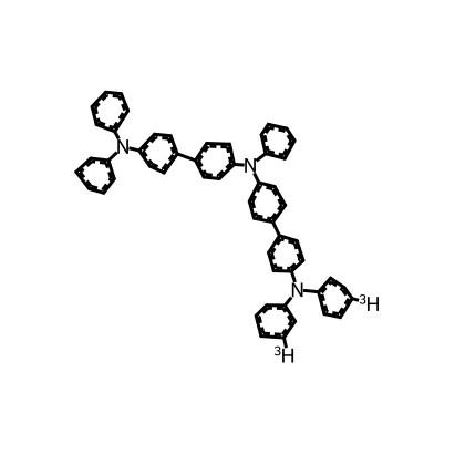 [3H]c1ccc(N(c2ccc(-c3ccc(N(c4ccccc4)c4ccc(-c5ccc(N(c6ccccc6)c6ccccc6)cc5)cc4)cc3)cc2)c2cccc([3H])c2)cc1